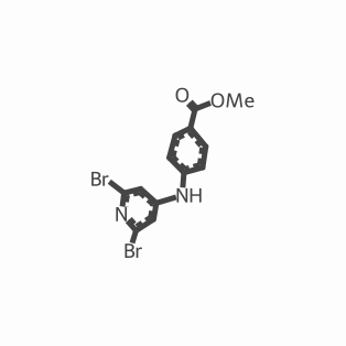 COC(=O)c1ccc(Nc2cc(Br)nc(Br)c2)cc1